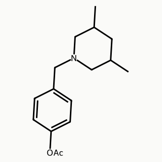 CC(=O)Oc1ccc(CN2CC(C)CC(C)C2)cc1